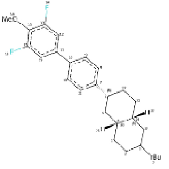 CCCCC1CC[C@@H]2C[C@H](c3ccc(-c4cc(F)c(OC)c(F)c4)cc3)CC[C@@H]2C1